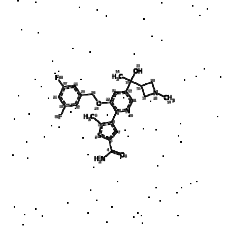 Cc1sc(C(N)=O)cc1-c1ncc(C(C)(O)C2CN(C)C2)cc1OCc1cc(F)cc(F)c1